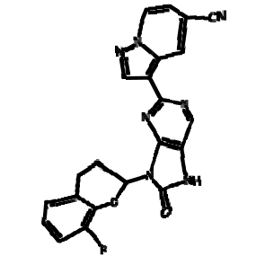 N#Cc1ccn2ncc(-c3ncc4[nH]c(=O)n(C5CCc6cccc(F)c6O5)c4n3)c2c1